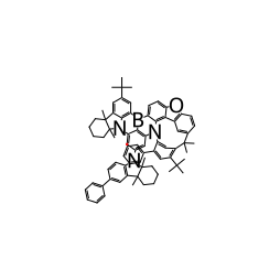 CC(C)(C)c1cc2c3c(c1)C1(C)CCCCC1(C)N3c1cc(N3c4ccc(-c5ccccc5)cc4C4(C)CCCCC34C)cc3c1B2c1ccc2oc4ccc5cc4c2c1N3c1cc(c(C(C)(C)C)cc1-c1ccccc1)C5(C)C